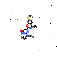 CC(C)[C@@H](NC(=O)c1cc(=O)[nH]c(N(C)C)n1)c1ccc(SC(F)(F)F)cc1